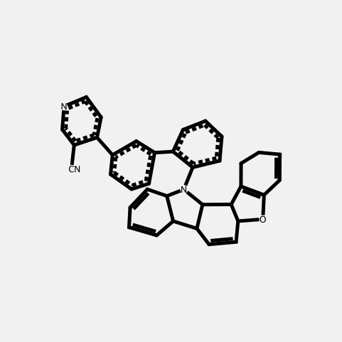 N#Cc1cnccc1-c1cccc(-c2ccccc2N2C3C=CC=CC3C3C=CC4OC5=C(CCC=C5)C4C32)c1